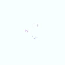 NPP.[Ru]